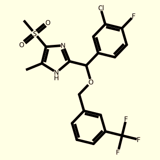 Cc1[nH]c(C(OCc2cccc(C(F)(F)F)c2)c2ccc(F)c(Cl)c2)nc1S(C)(=O)=O